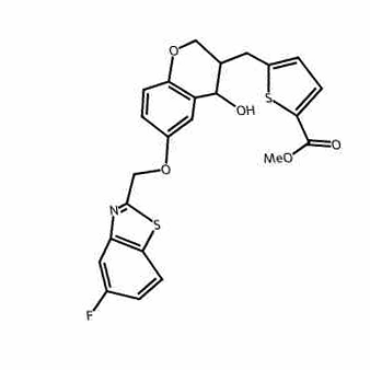 COC(=O)c1ccc(CC2COc3ccc(OCc4nc5cc(F)ccc5s4)cc3C2O)s1